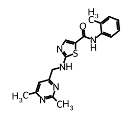 Cc1cc(CNc2ncc(C(=O)Nc3ccccc3C)s2)nc(C)n1